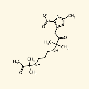 CC(=O)C(C)(C)NCCCNC(C)(C)C(=O)Cn1cc(C)nc1[N+](=O)[O-]